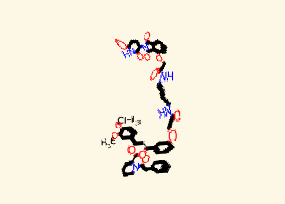 COc1ccc(CC[C@@H](OC(=O)[C@@H]2CCCCN2C(=O)Cc2ccccc2)c2cccc(OCC(=O)NCCCCNC(=O)COc3cccc4c3C(=O)N(C3CCC(=O)NC3=O)C4=O)c2)cc1OC